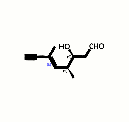 C#C/C(C)=C/[C@H](C)[C@@H](O)CC=O